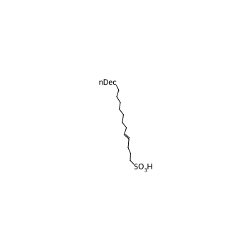 CCCCCCCCCCCCCCCCCC=CCCCS(=O)(=O)O